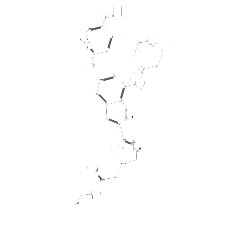 CCOC(=O)CC1CN=C(c2cc3cc(Oc4ccc(C)cn4)cc(OC4CCOCC4)c3[nH]2)S1